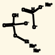 CCOP(=O)([O-])O.O=[PH]([O-])[O-].[Na+].[Na+].[Na+]